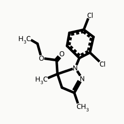 CCOC(=O)C1(C)CC(C)=NN1c1ccc(Cl)cc1Cl